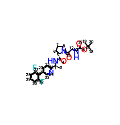 C[C@H](NC(=O)[C@@H]1CCCN1C(=O)CNC(=O)OC(C)(C)C)c1ccc(-c2c(F)cccc2F)cn1